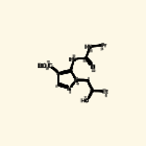 CCOC(=O)c1cnn(CC(O)CC)c1NC(=O)NC(C)C